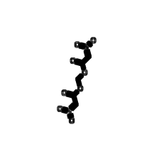 O=C(C=S(=O)=O)OCOC(=O)C=S(=O)=O